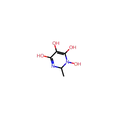 CC1N=C(O)C(O)=C(O)N1O